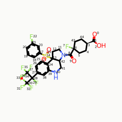 O=C(O)[C@H]1CC[C@](F)(C(=O)N2CCC3(S(=O)(=O)c4cccc(F)c4)c4ccc(C(F)(C(F)(F)F)C(F)(F)F)cc4NCC23)CC1